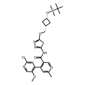 COc1cnc(Cl)cc1-c1cc(C)ncc1C(=O)Nc1nnc(OC[C@H]2C[C@@H](O[Si](C)(C)C(C)(C)C)C2)s1